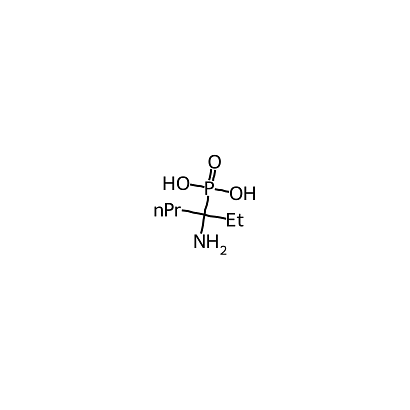 CCCC(N)(CC)P(=O)(O)O